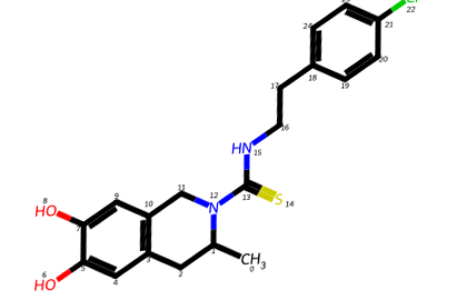 CC1Cc2cc(O)c(O)cc2CN1C(=S)NCCc1ccc(Cl)cc1